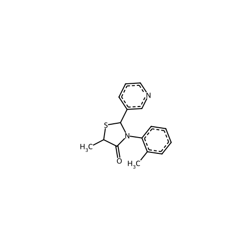 Cc1ccccc1N1C(=O)C(C)SC1c1cccnc1